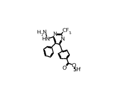 NNc1nc(C(F)(F)F)nc(-c2ccc(C(=O)OS)cc2)c1-c1ccccc1